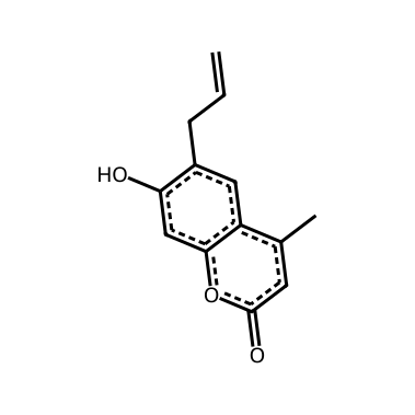 C=CCc1cc2c(C)cc(=O)oc2cc1O